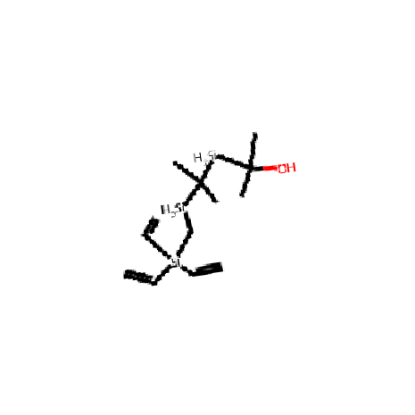 C=C[Si](C=C)(C=C)C[SiH2]C(C)(C)[SiH2]C(C)(C)O